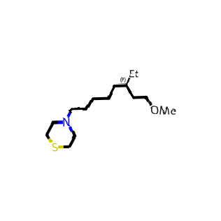 CC[C@H](CCCCCN1CCSCC1)CCOC